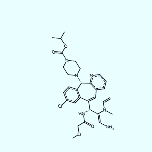 C=CN(C)/C(=C\N)[C@H](NC(=O)COC)C1=Cc2cccnc2[C@@H](N2CCN(C(=O)OC(C)C)CC2)c2ccc(Cl)cc21